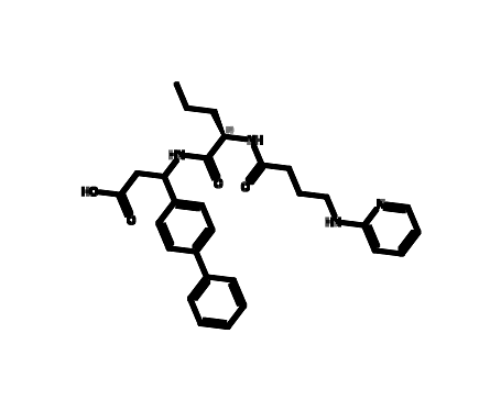 CCC[C@@H](NC(=O)CCCNc1ccccn1)C(=O)NC(CC(=O)O)c1ccc(-c2ccccc2)cc1